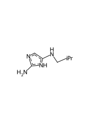 CC(C)CNc1cnc(N)[nH]1